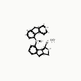 [Cl-].[Cl-].[S]=[Zr+2]([c]1cccc2c1C1=C(Br)SCC1=C2)[c]1cccc2c1-c1ccccc1C2